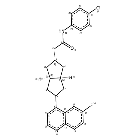 O=C(C[C@@H]1C[C@H]2CC(c3ccnc4ccc(F)cc34)C[C@H]2C1)Nc1ccc(Cl)cc1